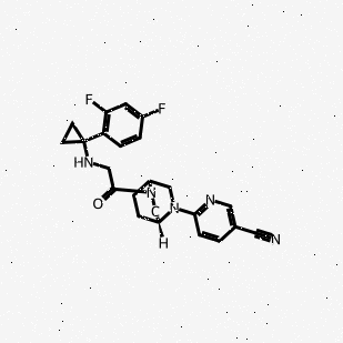 N#Cc1ccc(N2CC3CC[C@@H]2CN3C(=O)CNC2(c3ccc(F)cc3F)CC2)nc1